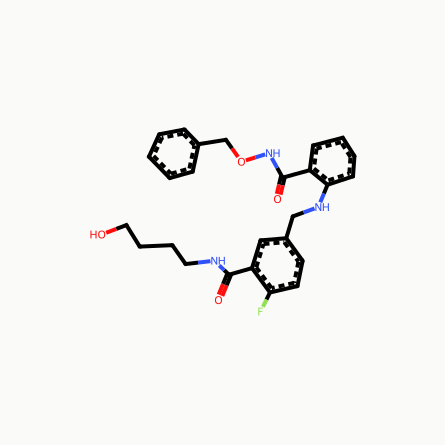 O=C(NCCCCO)c1cc(CNc2ccccc2C(=O)NOCc2ccccc2)ccc1F